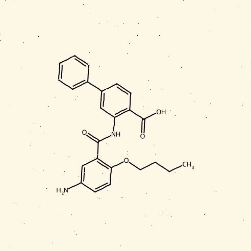 CCCCOc1ccc(N)cc1C(=O)Nc1cc(-c2ccccc2)ccc1C(=O)O